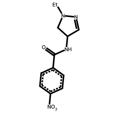 CCN1CC(NC(=O)c2ccc([N+](=O)[O-])cc2)C=N1